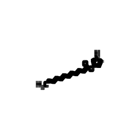 CCCCCCCCCCCC(=O)OC1C[CH]NC1